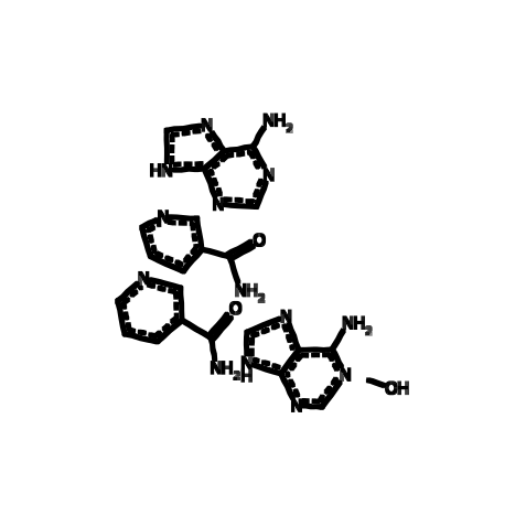 CO.NC(=O)c1cccnc1.NC(=O)c1cccnc1.Nc1ncnc2[nH]cnc12.Nc1ncnc2[nH]cnc12